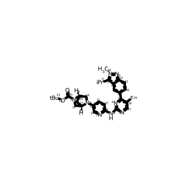 CC(C)c1c2cc(-c3nc(Nc4ccc(N5C[C@@H]6C[C@H]5CN6C(=O)OC(C)(C)C)cn4)ncc3F)ccc2nn1C